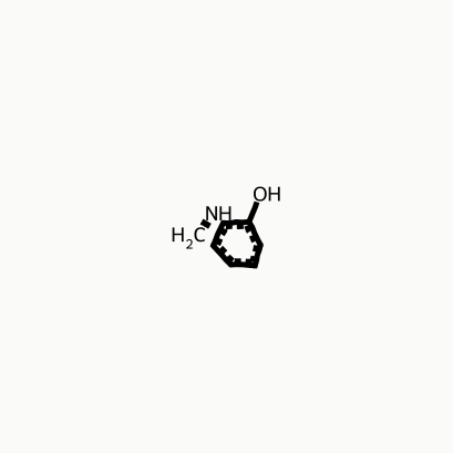 C=N.Oc1ccccc1